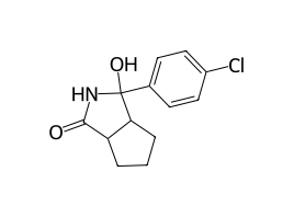 O=C1NC(O)(c2ccc(Cl)cc2)C2CCCC12